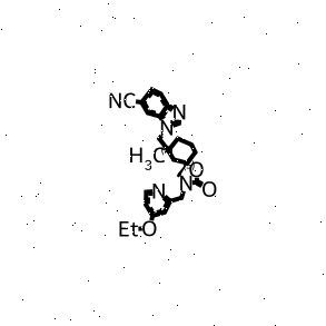 CCOc1ccnc(CN2C[C@@]3(CCC[C@](C)(Cn4cnc5ccc(C#N)cc54)C3)OC2=O)c1